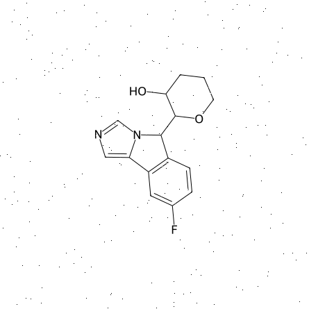 OC1CCCOC1C1c2ccc(F)cc2-c2cncn21